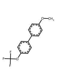 COc1ccc(-c2ccc(OC(F)(F)F)cc2)cc1